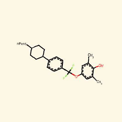 CCCCCC1CCC(c2ccc(C(F)(F)Oc3cc(C)c(O)c(C)c3)cc2)CC1